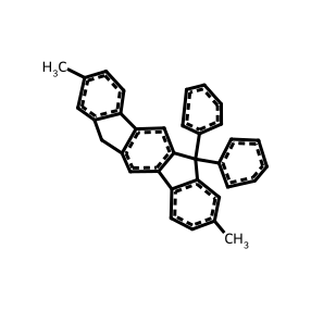 Cc1ccc2c(c1)Cc1cc3c(cc1-2)C(c1ccccc1)(c1ccccc1)c1cc(C)ccc1-3